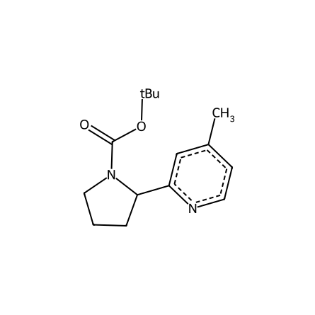 Cc1ccnc(C2CCCN2C(=O)OC(C)(C)C)c1